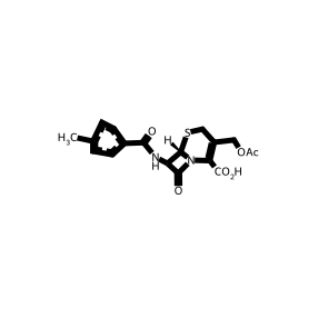 CC(=O)OCC1=C(C(=O)O)N2C(=O)C(NC(=O)c3ccc(C)cc3)[C@@H]2SC1